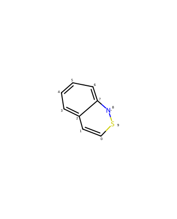 C1=Cc2ccccc2[N]S1